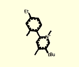 CCc1ccc(-c2cc(C)c(C(C)(C)C)c[n+]2C)c(C)c1